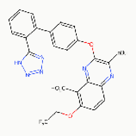 CCCCc1nc2ccc(OCC(F)(F)F)c(C(=O)O)c2nc1Oc1ccc(-c2ccccc2-c2nnn[nH]2)cc1